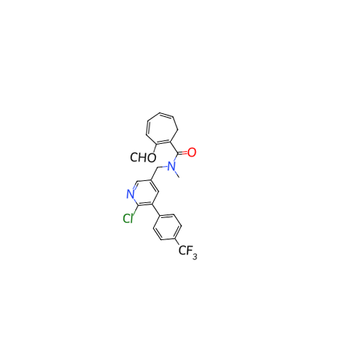 CN(Cc1cnc(Cl)c(-c2ccc(C(F)(F)F)cc2)c1)C(=O)C1=C(C=O)C=CC=CC1